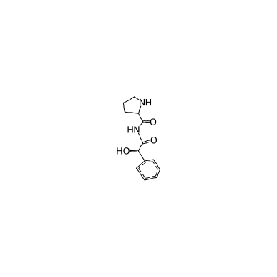 O=C(NC(=O)[C@H](O)c1ccccc1)C1CCCN1